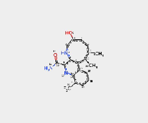 Cc1ccc(O)c[nH]c2c(C(N)=O)nc3c(C(F)(F)F)cccc3c2c1C